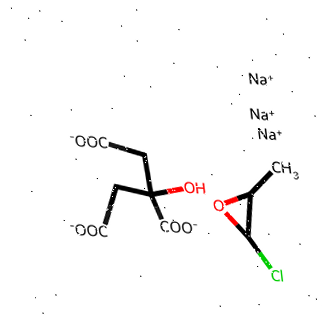 CC1OC1Cl.O=C([O-])CC(O)(CC(=O)[O-])C(=O)[O-].[Na+].[Na+].[Na+]